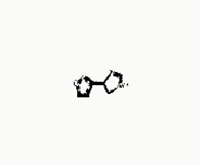 [C]1=NC(c2ccon2)CN1